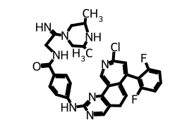 CC1CN(C(=N)CNC(=O)c2ccc(Nc3ncc4c(n3)C3=CN=C(Cl)C=C(c5c(F)cccc5F)C3=CC4)cc2)CC(C)N1